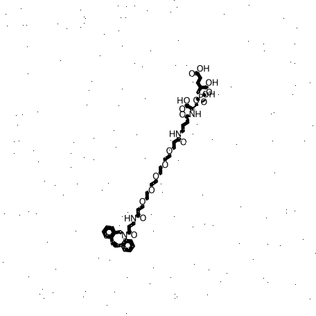 O=C(O)CCC(CP(=O)(O)OC[C@@H](NC(=O)CCCNC(=O)CCOCCOCCOCCOCCOCCC(=O)NCCC(=O)N1Cc2ccccc2C#Cc2ccccc21)C(=O)O)C(=O)O